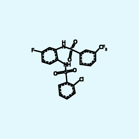 O=S(=O)(Nc1cc(F)ccc1NS(=O)(=O)c1ccccc1Cl)c1cccc(C(F)(F)F)c1